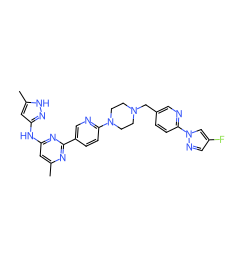 Cc1cc(Nc2cc(C)[nH]n2)nc(-c2ccc(N3CCN(Cc4ccc(-n5cc(F)cn5)nc4)CC3)nc2)n1